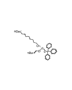 CCCCC=CO[C@H](COCCCCCCCCCCCCCCCCCC)COC(c1ccccc1)(c1ccccc1)c1ccccc1